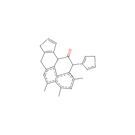 Cc1cc(C)c2c(C)cc3c4c2c1C(C1=CCC=C1)C(=O)C4C1=C(CC=C1)C3